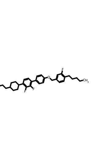 CCCCCc1ccc(COc2ccc(-c3ccc(C4CCC(CCC)CC4)c(F)c3F)cc2)cc1F